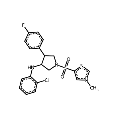 Cn1cnc(S(=O)(=O)N2CC(Nc3ccccc3Cl)C(c3ccc(F)cc3)C2)c1